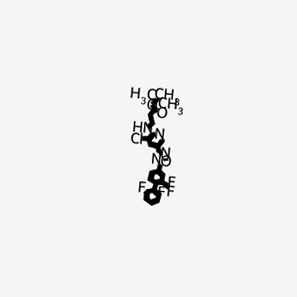 CC(C)(C)OC(=O)CCNc1ncc(-c2noc(-c3ccc(-c4ccccc4F)c(C(F)(F)F)c3)n2)cc1Cl